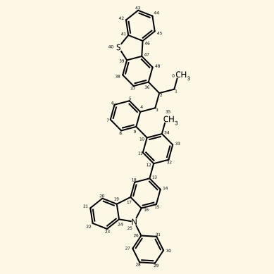 CCC(Cc1ccccc1-c1cc(-c2ccc3c(c2)c2ccccc2n3-c2ccccc2)ccc1C)c1ccc2sc3ccccc3c2c1